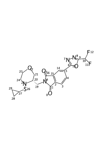 O=C1c2ccc(-c3nnc(C(F)F)o3)cc2C(=O)N1C[C@H]1COCCN1SC1CC1